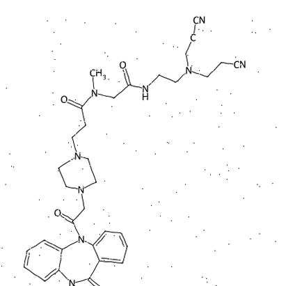 CN(CC(=O)NCCN(CCC#N)CCC#N)C(=O)CCN1CCN(CC(=O)N2c3ccccc3NC(=O)c3ccccc32)CC1